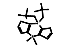 CC(C)(C)[CH2][Hf]1([CH2]C(C)(C)C)[C]2=C(C=CC2)[Si](C)(C)C2=[C]1CC=C2